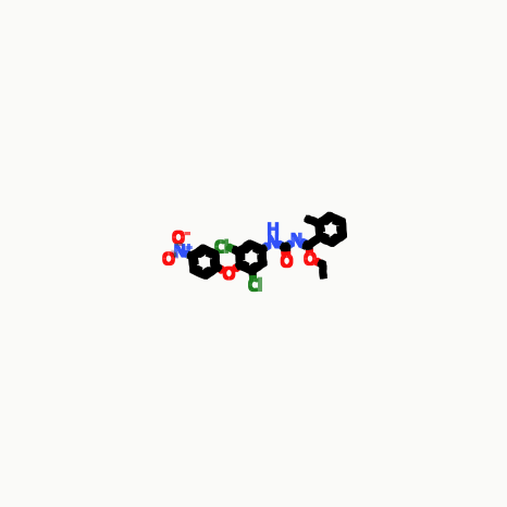 CCOC(=NC(=O)Nc1cc(Cl)c(Oc2ccc([N+](=O)[O-])cc2)c(Cl)c1)c1ccccc1C